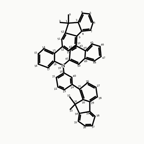 CC1(C)c2ccccc2-c2ccc(-c3ccccc3N(c3cccc(-c4cccc5c4C(C)(C)c4ccccc4-5)c3)c3ccc4ccccc4c3)cc21